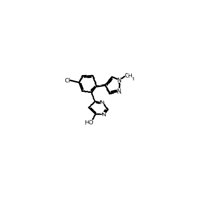 Cn1cc(-c2ccc(Cl)cc2-c2cc(O)ncn2)cn1